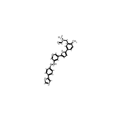 Cc1ccc(-c2ccc(-c3cncc(NSc4ccc(-c5cnco5)cc4)c3)s2)cc1CN(C)C=O